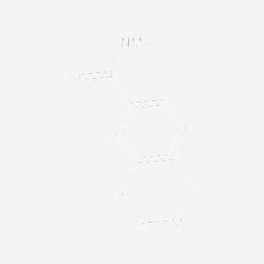 CNC(=O)c1ccc2c(c1)CCOC2